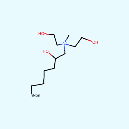 CCCCCCCCCCCCCC(O)C[N+](C)(CCO)CCO